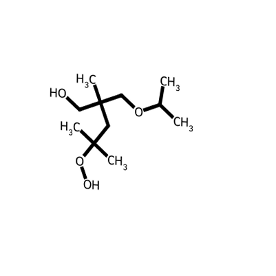 CC(C)OCC(C)(CO)CC(C)(C)OO